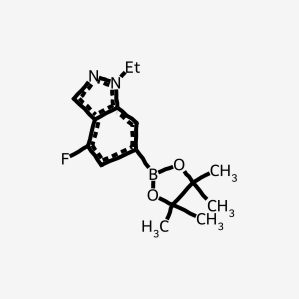 CCn1ncc2c(F)cc(B3OC(C)(C)C(C)(C)O3)cc21